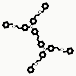 c1ccc(COCCc2ccc(N(c3ccc(CCOCc4ccccc4)cc3)c3ccc(CCc4ccc(N(c5ccc(CCOCc6ccccc6)cc5)c5ccc(CCOCc6ccccc6)cc5)cc4)cc3)cc2)cc1